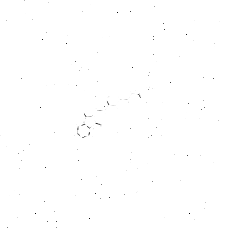 COC(=O)CCCCC(=O)CCN1C(=O)c2ccccc2C1=O